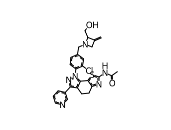 C=C1CN(Cc2ccc(-n3nc(-c4cccnc4)c4c3-c3sc(NC(C)=O)nc3CC4)c(Cl)c2)C1CO